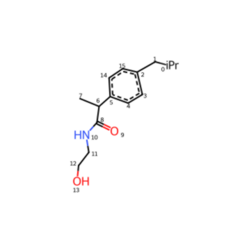 CC(C)Cc1ccc(C(C)C(=O)NCCO)cc1